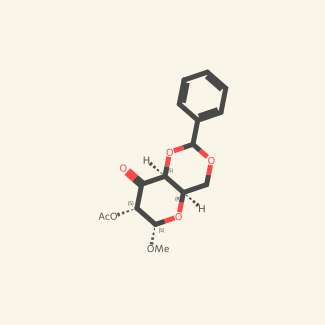 CO[C@H]1O[C@@H]2COC(c3ccccc3)O[C@@H]2C(=O)[C@H]1OC(C)=O